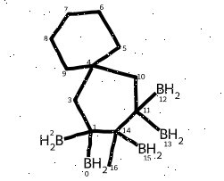 BC1(B)CC2(CCCCC2)CC(B)(B)C1(B)C